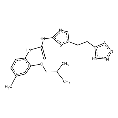 Cc1ccc(NC(=O)Nc2ncc(CCc3nnn[nH]3)s2)c(OCC(C)C)c1